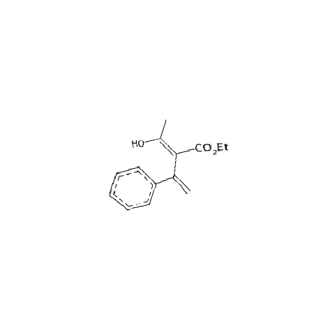 C=C(C(C(=O)OCC)=C(C)O)c1ccccc1